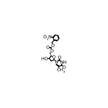 Cc1cn([C@H]2CC(O)[C@@H](COC(=O)OCc3ccccc3[N+](=O)[O-])O2)c(=O)[nH]c1=O